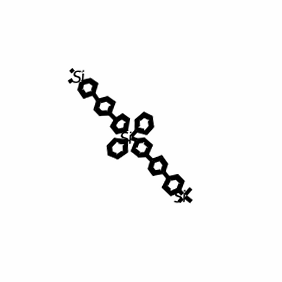 C[Si](C)(C)c1ccc(-c2ccc(-c3ccc([Si](c4ccccc4)(c4ccccc4)c4ccc(-c5ccc(-c6ccc([Si](C)(C)C)cc6)cc5)cc4)cc3)cc2)cc1